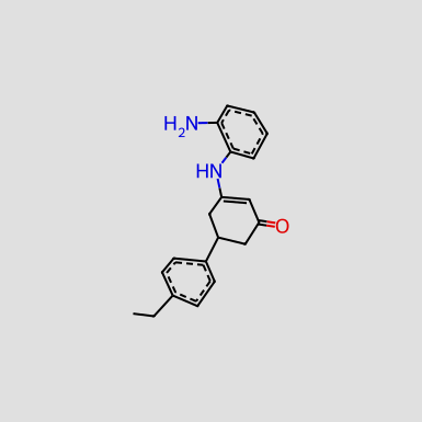 CCc1ccc(C2CC(=O)C=C(Nc3ccccc3N)C2)cc1